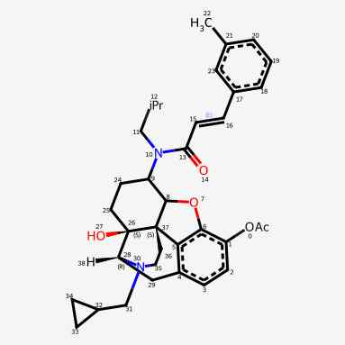 CC(=O)Oc1ccc2c3c1OC1C(N(CC(C)C)C(=O)/C=C/c4cccc(C)c4)CC[C@@]4(O)[C@@H](C2)N(CC2CC2)CC[C@]314